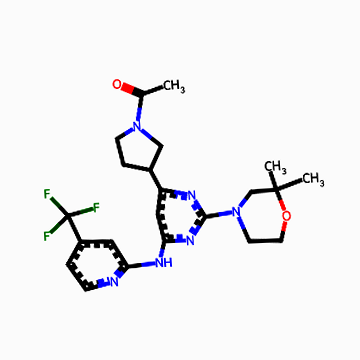 CC(=O)N1CCC(c2cc(Nc3cc(C(F)(F)F)ccn3)nc(N3CCOC(C)(C)C3)n2)C1